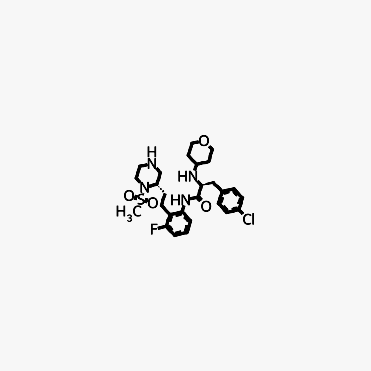 CS(=O)(=O)N1CCNC[C@@H]1CCc1c(F)cccc1NC(=O)[C@H](Cc1ccc(Cl)cc1)NC1CCOCC1